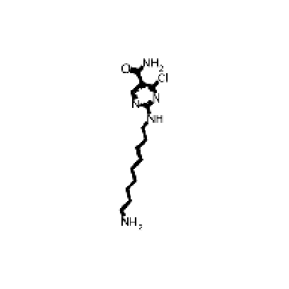 NCCCCCCCCCNc1ncc(C(N)=O)c(Cl)n1